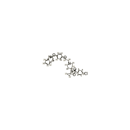 O=S(=O)(c1ccc(Cl)cc1)N(C1CC1)C1CCN(CCOc2ccc(Oc3nc4ccccc4s3)cc2)CC1